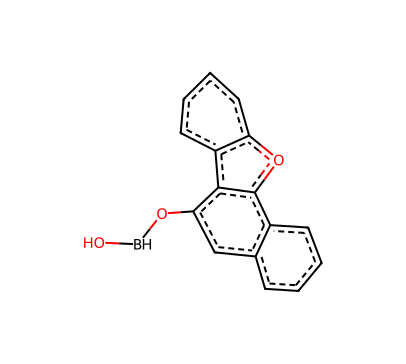 OBOc1cc2ccccc2c2oc3ccccc3c12